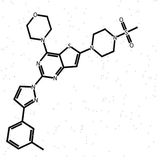 Cc1cccc(-c2ccn(-c3nc(N4CCOCC4)c4sc(N5CCN(S(C)(=O)=O)CC5)cc4n3)n2)c1